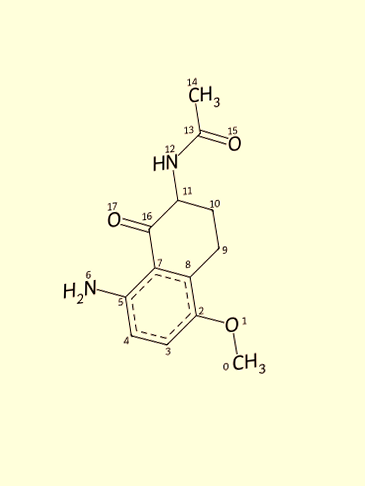 COc1ccc(N)c2c1CCC(NC(C)=O)C2=O